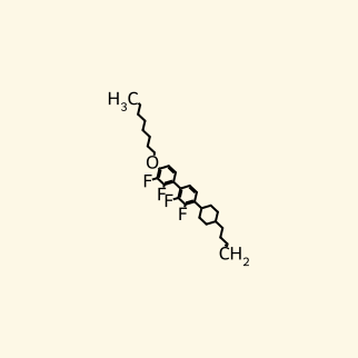 C=CCCC1CCC(c2ccc(-c3ccc(OCCCCCCCC)c(F)c3F)c(F)c2F)CC1